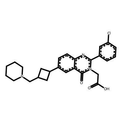 O=C(O)Cn1c(-c2cccc(Cl)c2)nc2ccc(C3CC(CN4CCCCC4)C3)cc2c1=O